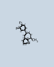 CC1CCC(c2ccc(F)c(F)c2)=Cc2cccnc21